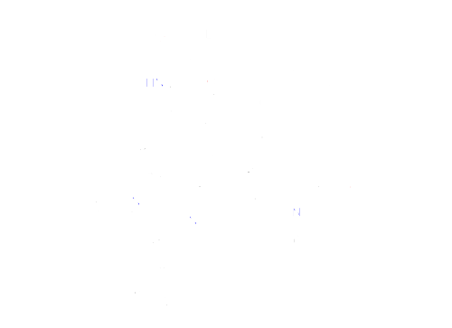 CCS(=O)(=O)Nc1cc(-c2cn(C)c(=O)c3ccccc23)c2nc(C3CC3)n(C)c2c1